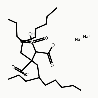 CCCCCC(CCC)CC(CC(CCC)CCCCC)(C(=O)[O-])C(C(=O)[O-])S(=O)(=O)O.[Na+].[Na+]